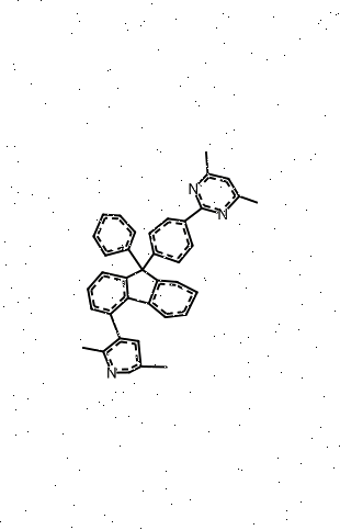 Cc1cnc(C)c(-c2cccc3c2-c2ccccc2C3(c2ccccc2)c2ccc(-c3nc(C)cc(C)n3)cc2)c1